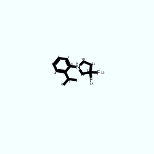 CC(C)c1ccccc1N1CCC(F)(F)C1